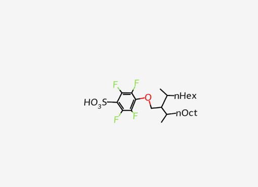 CCCCCCCCC(C)C(COc1c(F)c(F)c(S(=O)(=O)O)c(F)c1F)C(C)CCCCCC